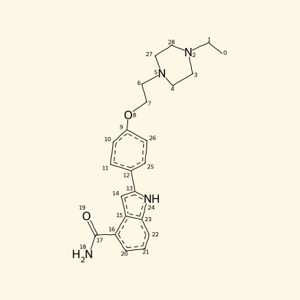 CCN1CCN(CCOc2ccc(-c3cc4c(C(N)=O)cccc4[nH]3)cc2)CC1